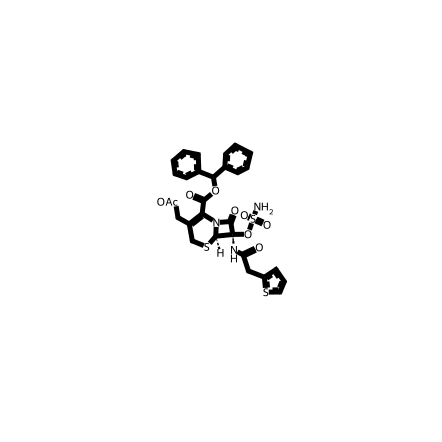 CC(=O)OCC1=C(C(=O)OC(c2ccccc2)c2ccccc2)N2C(=O)[C@@](NC(=O)Cc3cccs3)(OS(N)(=O)=O)[C@H]2SC1